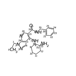 CCn1ncc2c(N[C@H]3CCCC[C@@H]3N)c(C(=O)NCc3ccccc3)cnc21